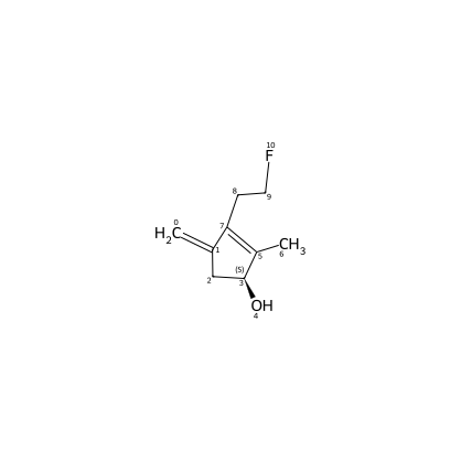 C=C1C[C@H](O)C(C)=C1CCF